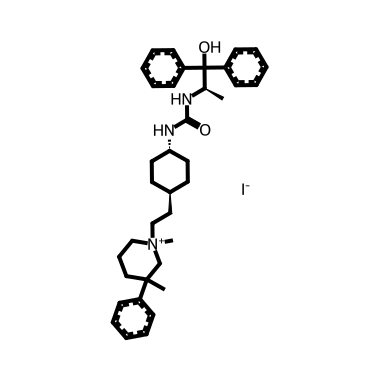 C[C@@H](NC(=O)N[C@H]1CC[C@H](CC[N+]2(C)CCCC(C)(c3ccccc3)C2)CC1)C(O)(c1ccccc1)c1ccccc1.[I-]